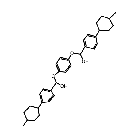 CC1CCC(c2ccc(C(O)Oc3ccc(OC(O)c4ccc(C5CCC(C)CC5)cc4)cc3)cc2)CC1